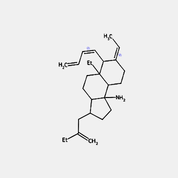 C=C/C=C\C1/C(=C\C)CCC2C3(N)CCC(CC(=C)CC)C3CCC12CC